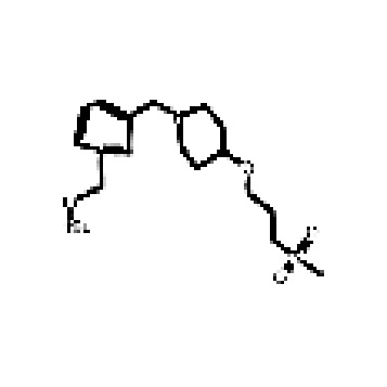 CC(C)(C)OCc1cccc(CN2CCC(OCCCS(C)(=O)=O)CC2)c1